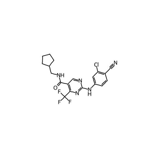 N#Cc1ccc(Nc2ncc(C(=O)NCC3CCCC3)c(C(F)(F)F)n2)cc1Cl